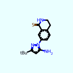 CC(C)(C)c1cc(N)n(-c2ccc3c(c2)C(=S)NCC3)n1